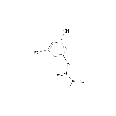 C=C(C)C(=O)Oc1cc(O)cc(O)c1